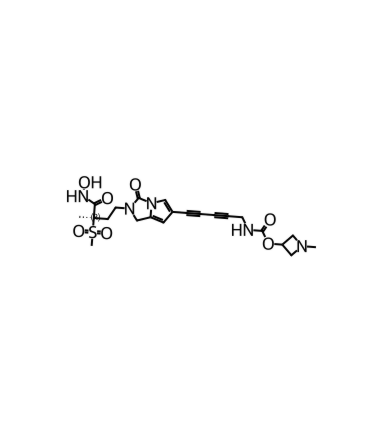 CN1CC(OC(=O)NCC#CC#Cc2cc3n(c2)C(=O)N(CC[C@](C)(C(=O)NO)S(C)(=O)=O)C3)C1